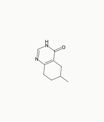 CC1CCc2nc[nH]c(=O)c2C1